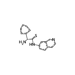 NC(C(=S)Nc1ccc2ccncc2c1)c1ccccc1